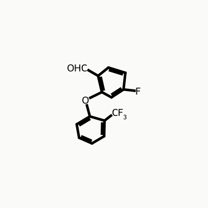 O=Cc1ccc(F)cc1Oc1ccccc1C(F)(F)F